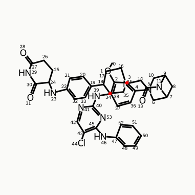 COc1cc(N2CC3CC(C2)N3C(=O)CN2CCC(c3ccc(NC4CCC(=O)NC4=O)cc3)CC2)ccc1Nc1ncc(Cl)c(Nc2ccccc2)n1